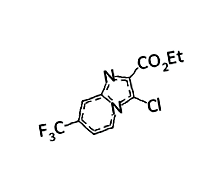 CCOC(=O)c1nc2cc(C(F)(F)F)ccn2c1Cl